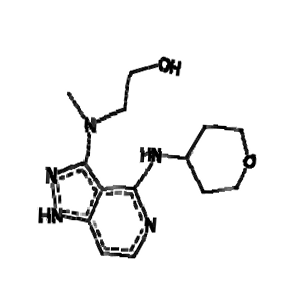 CN(CCO)c1n[nH]c2ccnc(NC3CCOCC3)c12